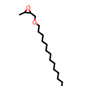 CCCCCCCCCCCCCCOCC1OC1C